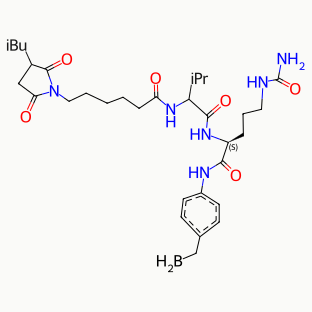 BCc1ccc(NC(=O)[C@H](CCCNC(N)=O)NC(=O)C(NC(=O)CCCCCN2C(=O)CC(C(C)CC)C2=O)C(C)C)cc1